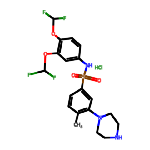 Cc1ccc(S(=O)(=O)Nc2ccc(OC(F)F)c(OC(F)F)c2)cc1N1CCNCC1.Cl